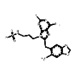 Cc1cc2c(cc1Cc1nc3c(N)nc(F)nc3n1CCCNS(=O)(=O)C(C)C)OCO2